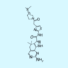 CN(C)[C@@H]1CCN(C(=O)Cc2csc(NC(=O)c3n[nH]c4c3C(C)(C)Cc3cnc(N)nc3-4)n2)C1